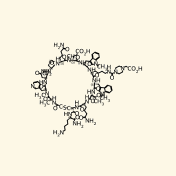 CC(C)C[C@@H]1NC(=O)[C@H](CC(N)=O)NC(=O)[C@H](Cc2cccnc2)N(C)C(=O)[C@@H](C)NC(=O)CSC[C@@H](C(=O)N[C@H](CCCCN)C(N)=O)NC(=O)[C@H](CCCC(N)=O)NC(=O)[C@H]([C@@H](C)O)NC(=O)[C@H](Cc2cn(C)c3ccccc23)NC(=O)[C@H](CCCCNC(=O)N2CCN(CC(=O)O)CC2)NC(=O)[C@H](Cc2cn(C)c3ccccc23)NC(=O)[C@H](CCC(=O)O)N(C)C(=O)[C@H](CCCC(N)=O)NC1=O